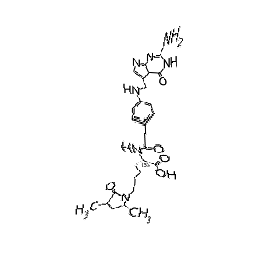 CC1CC(C)N(CCCC[C@H](NC(=O)c2ccc(NCC3=CN=C4N=C(N)NC(=O)C34)cc2)C(=O)O)C1=O